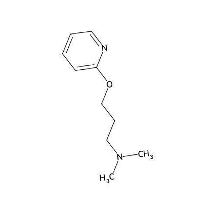 CN(C)CCCOc1c[c]ccn1